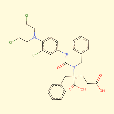 O=C(O)CC[C@@](Cc1ccccc1)(C(=O)O)N(Cc1ccccc1)C(=O)Nc1ccc(N(CCCl)CCCl)c(Cl)c1